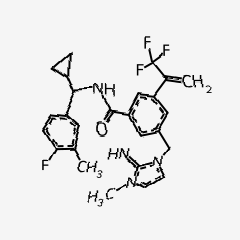 C=C(c1cc(Cn2ccn(C)c2=N)cc(C(=O)NC(c2ccc(F)c(C)c2)C2CC2)c1)C(F)(F)F